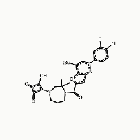 CC(C)(C)c1cc(-c2ccc(Cl)c(F)c2)nc2cc(C(=O)N3CCCN(c4c(O)c(=O)c4=O)CC3(C)C)oc12